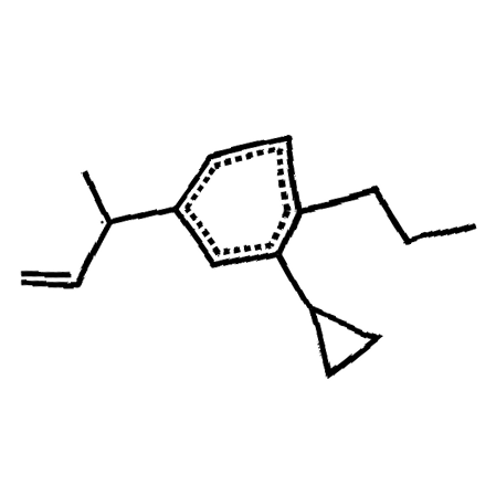 C=C[C](C)c1ccc(CCC)c(C2CC2)c1